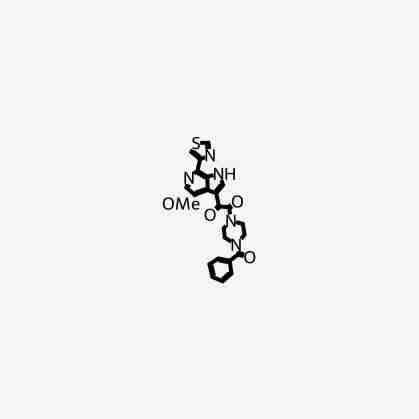 COc1cnc(-c2cscn2)c2[nH]cc(C(=O)C(=O)N3CCN(C(=O)c4ccccc4)CC3)c12